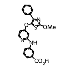 COc1nc(-c2ccccc2)c(Oc2ccnc(Nc3cccc(C(=O)O)c3)c2)s1